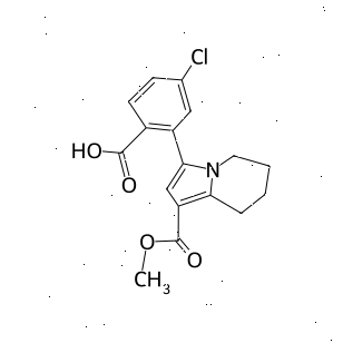 COC(=O)c1cc(-c2cc(Cl)ccc2C(=O)O)n2c1CCCC2